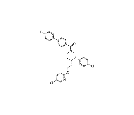 O=C(c1ccc(-c2ccc(F)cc2)cc1)N1CC[C@@H](CCOc2ccc(Cl)cn2)[C@@H](c2ccc(Cl)cc2)C1